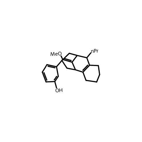 CCCC1C2=C(CCCC2)C2CCCC1/C2=C(\OC)c1cccc(O)c1